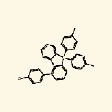 Cc1ccc(S2(c3ccc(C)cc3)c3ccccc3-c3c(-c4ccc(Cl)cc4)cccc32)cc1